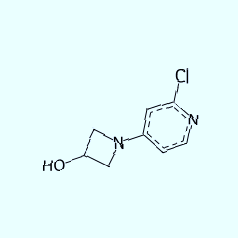 OC1CN(c2ccnc(Cl)c2)C1